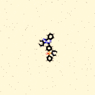 C/C=C\C(=C/C)P(=O)(c1ccccc1)c1ccc(-c2nc3ccccc3c3nc(C)c(/C=C\C)n23)cc1